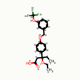 CCOC(CC)(CC(=O)O)c1ccc(OCc2cccc(OC(F)(F)F)c2)cc1